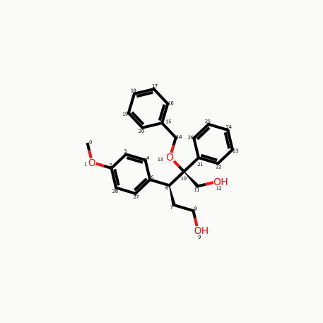 COc1ccc([C@H](CCO)[C@](CO)(OCc2ccccc2)c2ccccc2)cc1